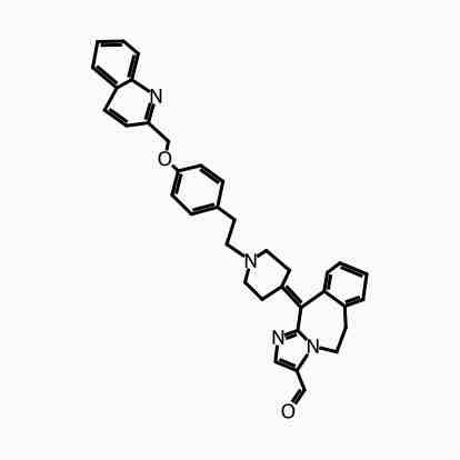 O=Cc1cnc2n1CCc1ccccc1C2=C1CCN(CCc2ccc(OCc3ccc4ccccc4n3)cc2)CC1